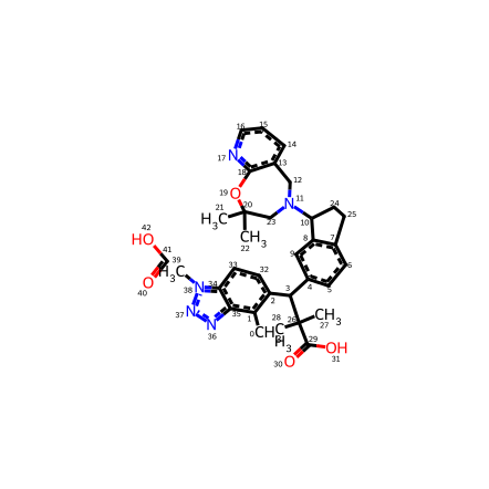 Cc1c(C(c2ccc3c(c2)C(N2Cc4cccnc4OC(C)(C)C2)CC3)C(C)(C)C(=O)O)ccc2c1nnn2C.O=CO